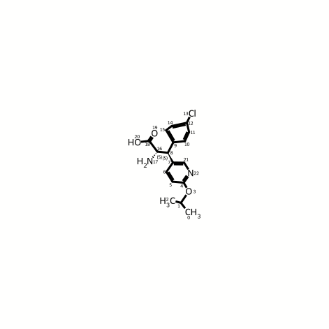 CC(C)Oc1ccc([C@H](c2ccc(Cl)cc2)[C@H](N)C(=O)O)cn1